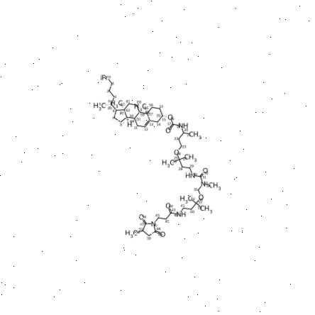 CC(C)CCC[C@@H](C)C1CCC2[C@@H]3CC=C4C[C@@H](OC(=O)NC(C)CCOC(C)(C)CCNC(=O)N(C)COC(C)(C)CCNC(=O)CCN5C(=O)CC(C)C5=O)CC[C@]4(C)C3CC[C@@]21C